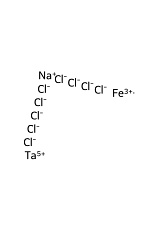 [Cl-].[Cl-].[Cl-].[Cl-].[Cl-].[Cl-].[Cl-].[Cl-].[Cl-].[Fe+3].[Na+].[Ta+5]